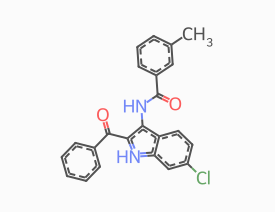 Cc1cccc(C(=O)Nc2c(C(=O)c3ccccc3)[nH]c3cc(Cl)ccc23)c1